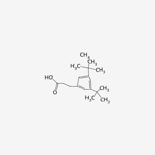 C.CC(C)(C)c1cc(CCC(=O)O)cc(C(C)(C)C)c1